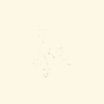 COC(=O)c1ccc2c(c1)c(N1C[C@@H](C)n3c(c(CCCOc4cc(C)c(Cl)c(C)c4)c4ccc(C)c(-c5c(C)nn(C)c5C)c43)C1=O)cn2C